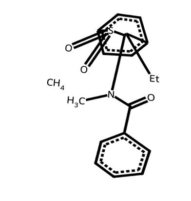 C.CCC1c2ccc(cc2)S(=O)(=O)C1N(C)C(=O)c1ccccc1